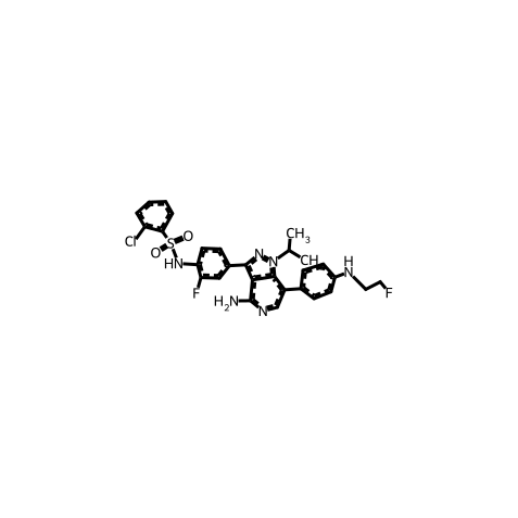 CC(C)n1nc(-c2ccc(NS(=O)(=O)c3ccccc3Cl)c(F)c2)c2c(N)ncc(-c3ccc(NCCF)cc3)c21